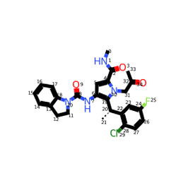 CNC(=O)c1cc(NC(=O)N2CCc3ccccc32)c([C@@H](C)c2cc(F)ccc2Cl)n1CC(C)=O